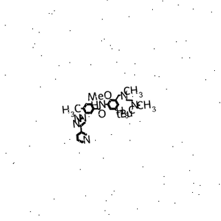 COc1c(CN(C)CCN(C)C)cc(C(C)(C)C)cc1NC(=O)c1ccc(C)c(-n2cc(-c3cccnc3)nn2)c1